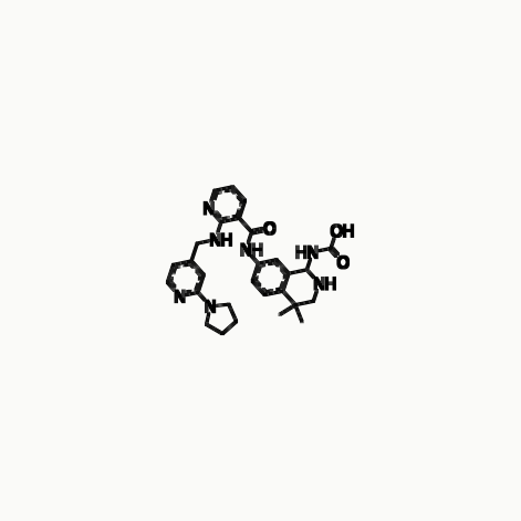 CC1(C)CNC(NC(=O)O)c2cc(NC(=O)c3cccnc3NCc3ccnc(N4CCCC4)c3)ccc21